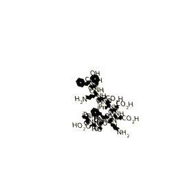 CC(C)C[C@H](NC(=O)[C@H](CCC(=O)O)NC(=O)[C@H](CCC(=O)O)NC(=O)[C@H](CCCCN)NC(=O)[C@H](Cc1ccccc1)NC(=O)[C@H](CO)NC(=O)[C@H](CC(=O)O)NC(=O)[C@@H](N)CC(C)C)C(=O)N[C@@H](CC(=O)O)C(=O)N[C@@H](CCCCN)C(=O)N[C@@H](Cc1ccc(O)cc1)C(=O)N[C@@H](Cc1ccccc1)C(=O)O